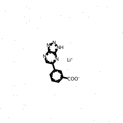 O=C([O-])c1cccc(-c2cnc3nn[nH]c3n2)c1.[Li+]